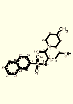 CC1CCN(C(=O)[C@H](CCO)NS(=O)(=O)c2ccc3ccccc3c2)CC1